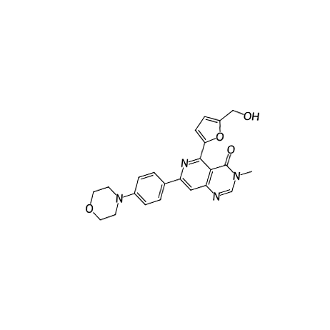 Cn1cnc2cc(-c3ccc(N4CCOCC4)cc3)nc(-c3ccc(CO)o3)c2c1=O